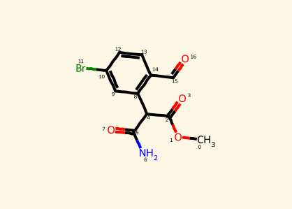 COC(=O)C(C(N)=O)c1cc(Br)ccc1C=O